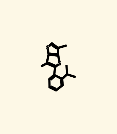 Cc1csc2c(C)c(-c3ccccc3C(C)C)sc12